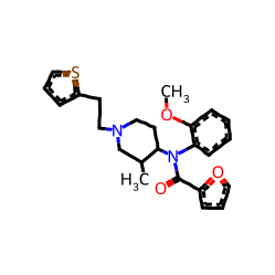 COc1ccccc1N(C(=O)c1ccco1)C1CCN(CCc2cccs2)CC1C